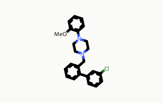 COc1ccccc1N1CCN(Cc2ccccc2-c2cccc(Cl)c2)CC1